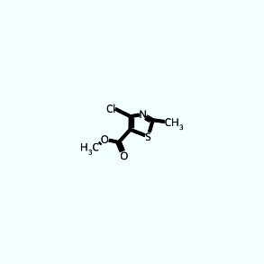 COC(=O)c1sc(C)nc1Cl